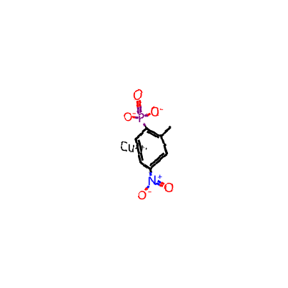 Cc1cc([N+](=O)[O-])ccc1P(=O)([O-])[O-].[Cu+2]